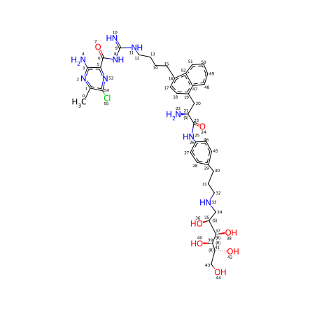 Cc1nc(N)c(C(=O)NC(=N)NCCCCc2ccc(C[C@H](N)C(=O)Nc3ccc(CCCNC[C@H](O)[C@@H](O)[C@H](O)[C@H](O)CO)cc3)c3ccccc23)nc1Cl